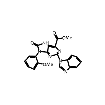 COC(=O)c1nc(-n2cnc3ccccc32)nc2c1[nH]c(=O)n2-c1ccccc1OC